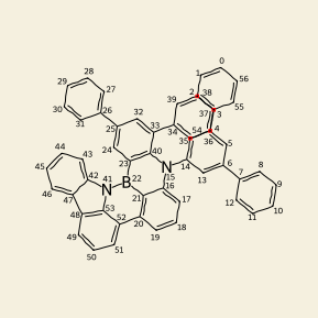 c1ccc(-c2cc(-c3ccccc3)cc(N3c4cccc5c4B(c4cc(-c6ccccc6)cc(-c6ccccc6)c43)n3c4ccccc4c4cccc-5c43)c2)cc1